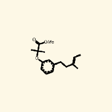 CC=C(C)[CH]Cc1cccc(OC(C)(C)C(=O)OC)c1